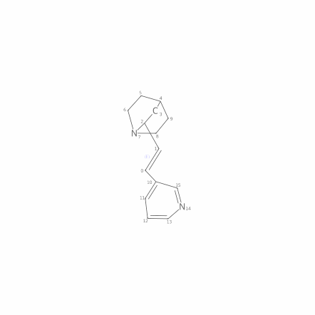 C(=C\C1CC2CCN1CC2)/c1cccnc1